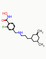 C=C1CC(C)CC(CCCNCc2ccc(C(=O)NO)c(F)c2)C1